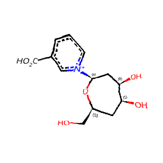 O=C(O)c1ccc[n+]([C@H]2C[C@@H](O)[C@@H](O)C[C@@H](CO)O2)c1